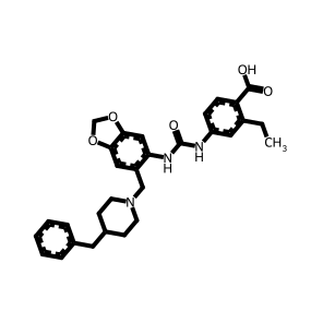 CCc1cc(NC(=O)Nc2cc3c(cc2CN2CCC(Cc4ccccc4)CC2)OCO3)ccc1C(=O)O